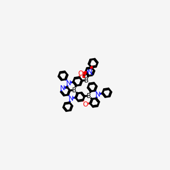 c1ccc(N2c3ccccc3B3c4cc5c(cc4Oc4cccc2c43)N(c2ccccc2)c2ccnc3c2B5c2cc4c(cc2N3c2ccccc2)Oc2cccc3c2B4c2ccccc2N3c2ccccc2)cc1